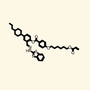 C=CC(=O)OCCCCCCOc1ccc(C(=O)Oc2ccc(C3CCC(CCC)CC3)cc2/C=N/Nc2nc3ccccc3s2)cc1